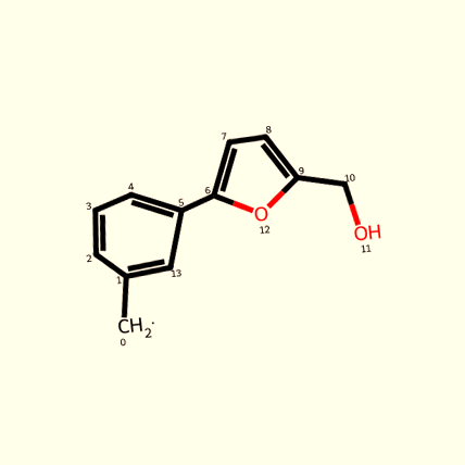 [CH2]c1cccc(-c2ccc(CO)o2)c1